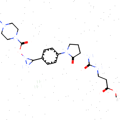 CC(C)OC(=O)CCNC(=O)N[C@H]1CCN(c2ccc(C3NN3OC(=O)N3CCN(C)CC3)cc2)C1=O.Cl.Cl